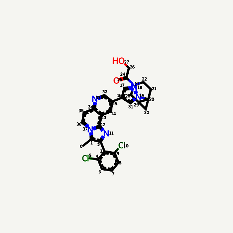 Cc1c(-c2c(Cl)cccc2Cl)nc2c3cc(-c4cnn(C56CCN(C(=O)CO)CC5C6)c4)cnc3ccn12